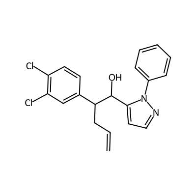 C=CCC(c1ccc(Cl)c(Cl)c1)C(O)c1ccnn1-c1ccccc1